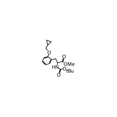 COC(=O)C(Cc1ccccc1OCC1CC1)NC(=O)OC(C)(C)C